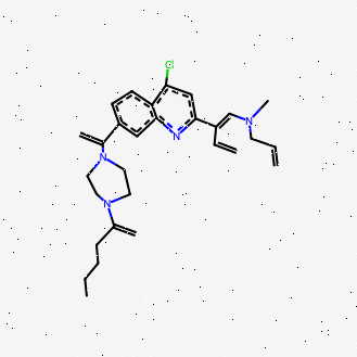 C=CCN(C)/C=C(\C=C)c1cc(Cl)c2ccc(C(=C)N3CCN(C(=C)CCCC)CC3)cc2n1